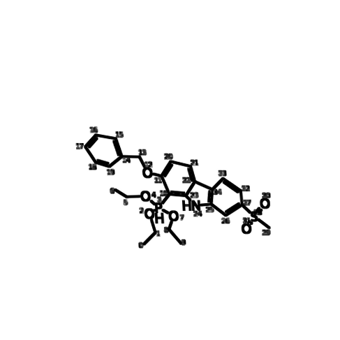 CCO[PH](OCC)(OCC)c1c(OCc2ccccc2)ccc2c1[nH]c1cc(S(C)(=O)=O)ccc12